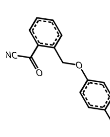 N#CC(=O)c1ccccc1COc1ccc(C(F)(F)F)cc1